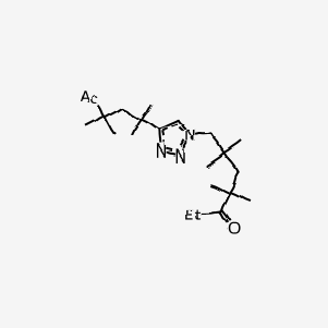 CCC(=O)C(C)(C)CC(C)(C)Cn1cc(C(C)(C)CC(C)(C)C(C)=O)nn1